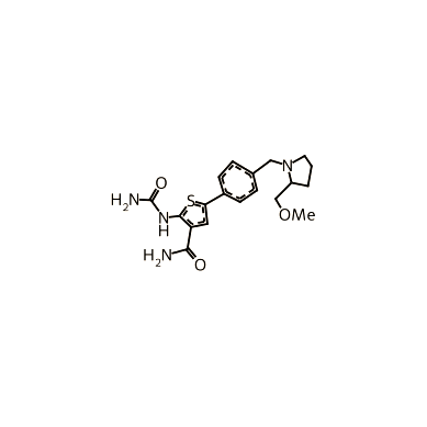 COCC1CCCN1Cc1ccc(-c2cc(C(N)=O)c(NC(N)=O)s2)cc1